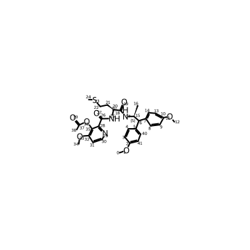 COc1ccc(C(c2ccc(OC)cc2)[C@H](C)NC(=O)[C@H](CCSC)NC(=O)c2nccc(OC)c2OC(C)=O)cc1